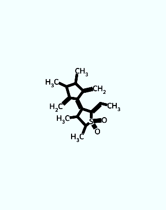 C=C1C(=C2/C(=C/C)S(=O)(=O)C(C)C2C)C(=C)C(C)C1C